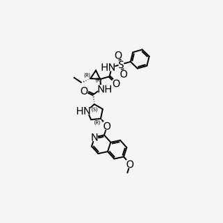 CC[C@@H]1C[C@]1(NC(=O)[C@@H]1C[C@@H](Oc2nccc3cc(OC)ccc23)CN1)C(=O)NS(=O)(=O)c1ccccc1